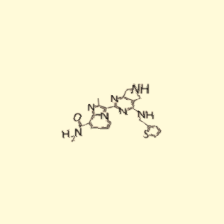 Cc1nc2c(C(N)=O)cccn2c1-c1nc2c(c(NCc3cccs3)n1)CNC2